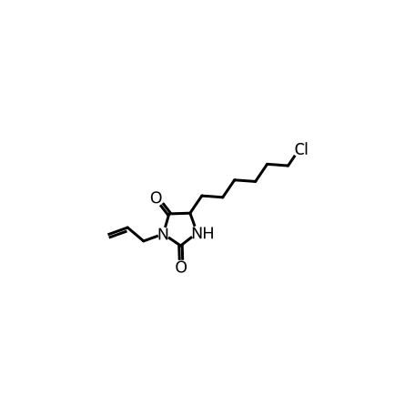 C=CCN1C(=O)NC(CCCCCCCl)C1=O